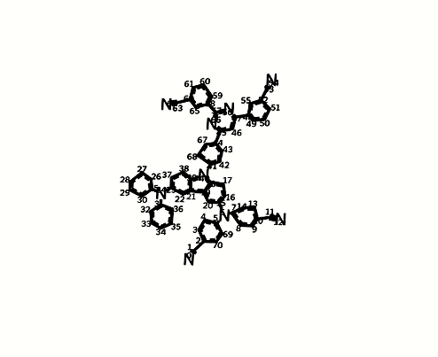 N#Cc1ccc(N(c2ccc(C#N)cc2)c2ccc3c(c2)c2cc(N(c4ccccc4)c4ccccc4)ccc2n3-c2ccc(-c3cc(-c4cccc(C#N)c4)nc(-c4cccc(C#N)c4)n3)cc2)cc1